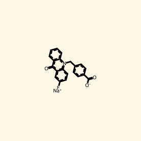 O=C([O-])c1ccc(Cn2c3ccccc3c(=O)c3cc(F)ccc32)cc1.[Na+]